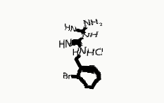 Cl.N=C(N)NC(=N)NCc1ccccc1Br